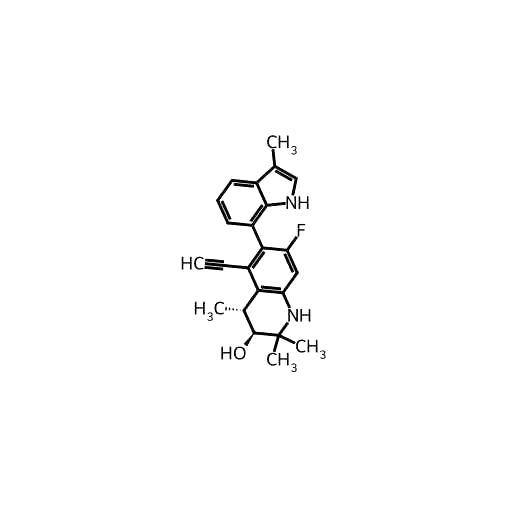 C#Cc1c(-c2cccc3c(C)c[nH]c23)c(F)cc2c1[C@@H](C)[C@H](O)C(C)(C)N2